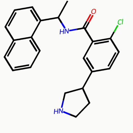 CC(NC(=O)c1cc(C2CCNC2)ccc1Cl)c1cccc2ccccc12